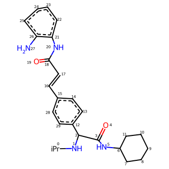 CC(C)NC(C(=O)NC1CCCCC1)c1ccc(C=CC(=O)Nc2ccccc2N)cc1